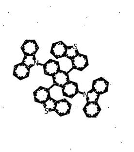 c1ccc2c(c1)sc1cccc(-c3c4ccc(-n5c6ccccc6c6ccccc65)cc4c(-c4cccc5sc6ccccc6c45)c4ccc(-n5c6ccccc6c6ccccc65)cc34)c12